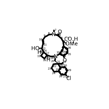 CO[C@]1(C(=O)O)CC(=O)N(C)CC/C=C/[C@H](O)[C@@H]2CC[C@H]2CN2C[C@@]3(CCCc4cc(Cl)ccc43)COc3ccc1cc32